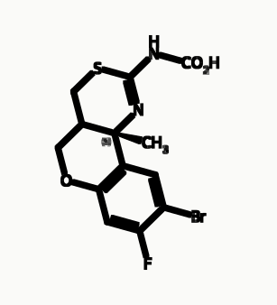 C[C@]12N=C(NC(=O)O)SCC1COc1cc(F)c(Br)cc12